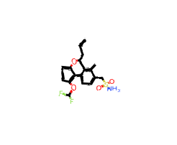 C=CCC1Oc2cccc(OC(F)F)c2-c2ccc(CS(N)(=O)=O)c(C)c21